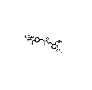 CC(C)Cc1nc(C(F)(F)F)ccc1C=CC(=O)NCc1ccc(NS(C)(=O)=O)cc1